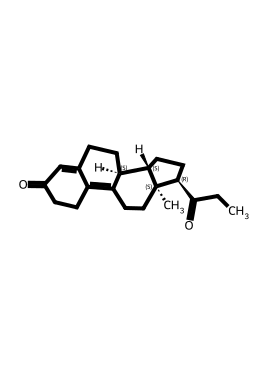 CCC(=O)[C@@H]1CC[C@H]2[C@@H]3CCC4=CC(=O)CCC4=C3CC[C@]12C